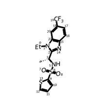 CCn1c([C@@H](C)NS(=O)(=O)c2cccs2)nc2ccc(C(F)(F)F)cc21